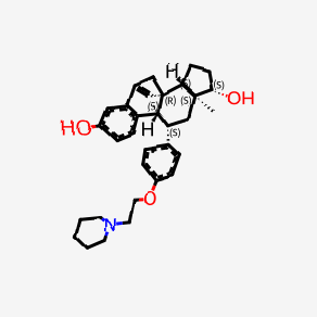 C=C[C@@]12CCc3cc(O)ccc3[C@H]1[C@@H](c1ccc(OCCN3CCCCC3)cc1)C[C@@]1(C)[C@H]2CC[C@@H]1O